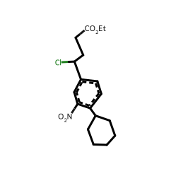 CCOC(=O)CCC(Cl)c1ccc(C2CCCCC2)c([N+](=O)[O-])c1